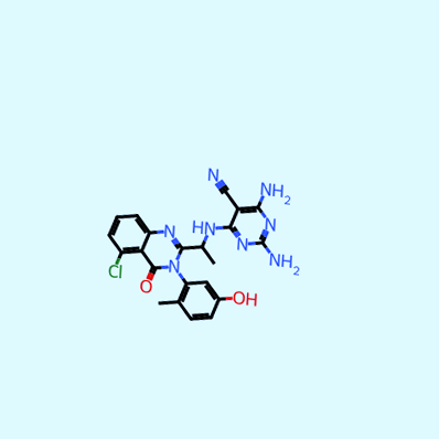 Cc1ccc(O)cc1-n1c(C(C)Nc2nc(N)nc(N)c2C#N)nc2cccc(Cl)c2c1=O